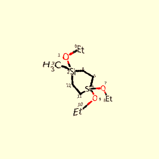 CCO[Si]1(C)CC[Si](OCC)(OCC)CC1